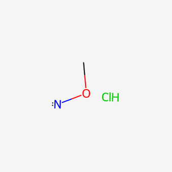 CO[N].Cl